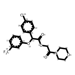 O=C(OCC(=O)N1CCOCC1)C(Oc1cccc(C(F)(F)F)c1)c1ccc(Cl)cc1